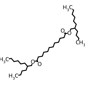 CCCCCCC(CCCC)COC(=O)CCCCCCCCCCC(=O)OCC(CCCC)CCCCCC